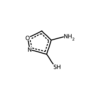 Nc1conc1S